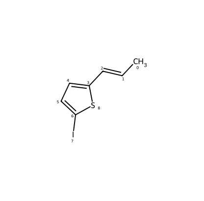 C/C=C/c1ccc(I)s1